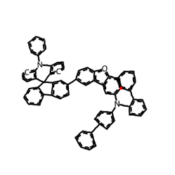 c1ccc(-c2ccc(N(c3ccc4oc5ccc(-c6ccc7c(c6)C6(c8ccccc8-7)c7ccccc7N(c7ccccc7)c7ccccc76)cc5c4c3)c3ccccc3-c3ccccc3)cc2)cc1